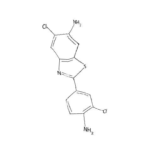 Nc1ccc(-c2nc3cc(Cl)c(N)cc3s2)cc1Cl